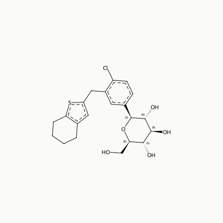 OC[C@H]1O[C@@H](c2ccc(Cl)c(Cc3cc4c(s3)CCCC4)c2)[C@H](O)[C@@H](O)[C@@H]1O